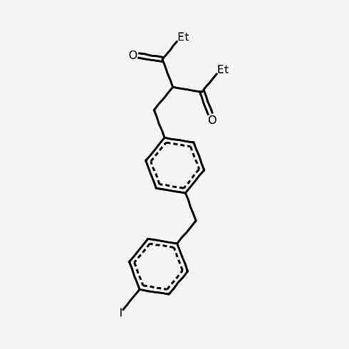 CCC(=O)C(Cc1ccc(Cc2ccc(I)cc2)cc1)C(=O)CC